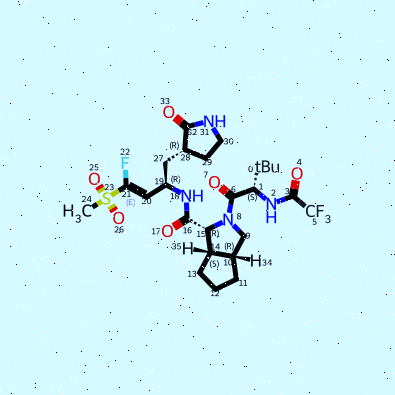 CC(C)(C)[C@H](NC(=O)C(F)(F)F)C(=O)N1C[C@@H]2CCC[C@@H]2[C@@H]1C(=O)N[C@@H](/C=C(\F)S(C)(=O)=O)C[C@H]1CCNC1=O